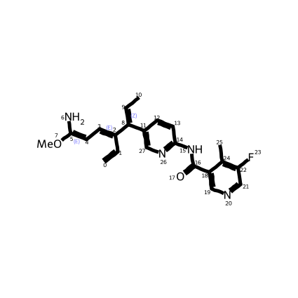 C=CC(=C\C=C(/N)OC)/C(=C/C)c1ccc(NC(=O)c2cncc(F)c2C)nc1